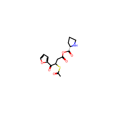 CC(=O)SC(CC(=O)OC(=O)[C@@H]1CCCN1)C(=O)c1ccco1